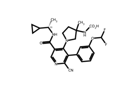 C[C@H](NC(=O)c1cnc(C#N)c(-c2cccc(OC(F)F)c2)c1N1CCC(C)(NC(=O)O)C1)C1CC1